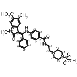 Cc1cc2c(cc1C(=O)O)N(C)C(=O)C2=C(Nc1ccc(C(=O)NCCN2CCN(S(C)(=O)=O)CC2)cc1)c1ccccc1